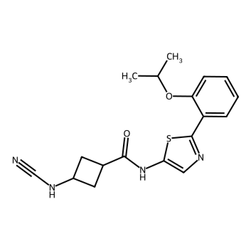 CC(C)Oc1ccccc1-c1ncc(NC(=O)C2CC(NC#N)C2)s1